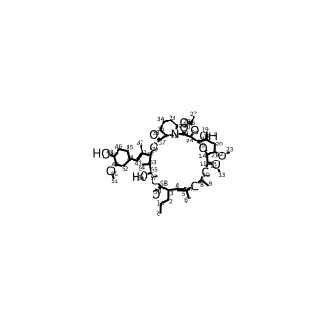 CCCC1/C=C(\C)CC(C)CC(OC)C2OC(O)(C(C)CC2OC)C(OC(C)=O)C(=O)N2CCCCC2C(=O)OC(C(C)=CC2CCC(O)C(OC)C2)C(C)C(O)CC1=O